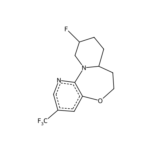 FC1CCC2CCOc3cc(C(F)(F)F)cnc3N2C1